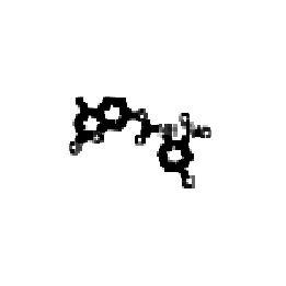 Cc1cc(=O)oc2cc(OC(=O)Nc3ccc(Cl)cc3[N+](=O)[O-])ccc12